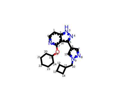 c1cc2[nH]nc(-c3cnn(CC4CCC4)c3)c2c(OC2CCCCC2)n1